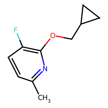 Cc1ccc(F)c(OCC2CC2)n1